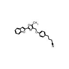 Cc1oc(-c2cc3ccccc3o2)nc1COc1ccc(CCCC#N)cc1